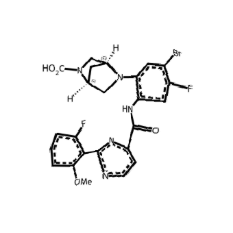 COc1cccc(F)c1-c1nccc(C(=O)Nc2cc(F)c(Br)cc2N2C[C@@H]3C[C@H]2CN3C(=O)O)n1